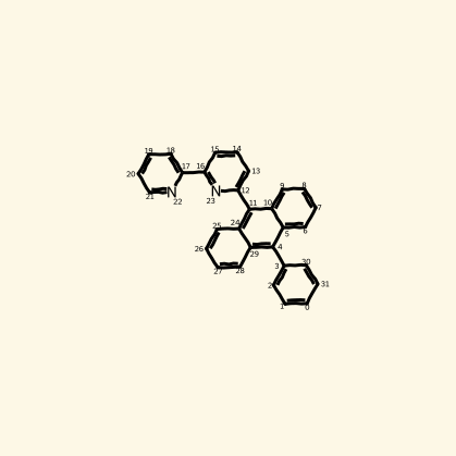 c1ccc(-c2c3ccccc3c(-c3cccc(-c4ccccn4)n3)c3ccccc23)cc1